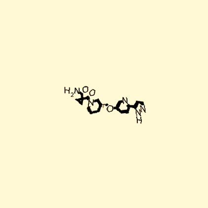 NC(=O)C1(C(=O)N2CCC[C@@H](COc3ccc(-c4ccn[nH]4)nc3)C2)CC1